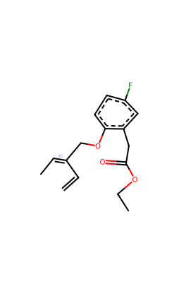 C=C/C(=C\C)COc1ccc(F)cc1CC(=O)OCC